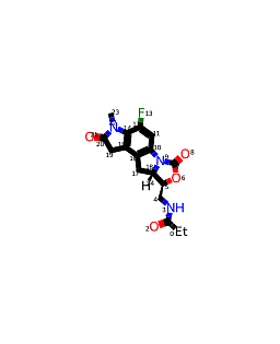 CCC(=O)NC[C@@H]1OC(=O)N2c3cc(F)c4c(c3C[C@@H]12)CC(=O)N4C